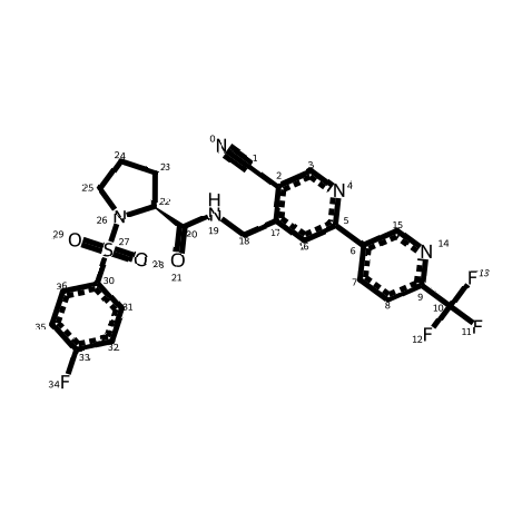 N#Cc1cnc(-c2ccc(C(F)(F)F)nc2)cc1CNC(=O)[C@@H]1CCCN1S(=O)(=O)c1ccc(F)cc1